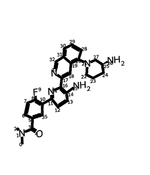 CN(C)C(=O)c1ccc(F)c(-c2ccc(N)c(-c3cc4c(N5CCC[C@H](N)C5)cccc4cn3)n2)c1